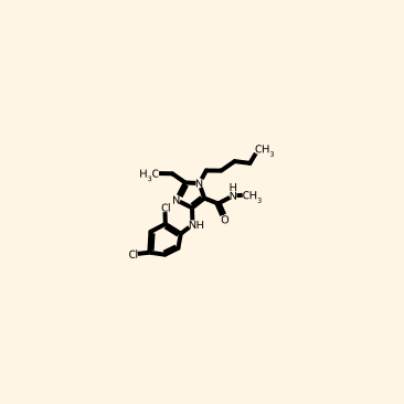 CCCCCn1c(CC)nc(Nc2ccc(Cl)cc2Cl)c1C(=O)NC